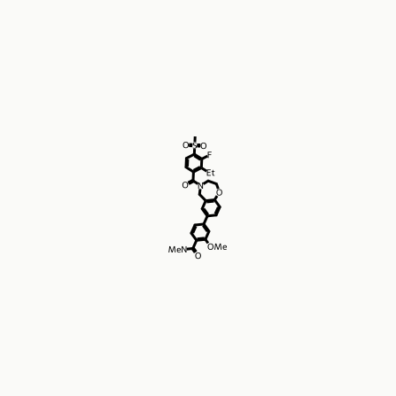 CCc1c(C(=O)N2CCOc3ccc(-c4ccc(C(=O)NC)c(OC)c4)cc3C2)ccc(S(C)(=O)=O)c1F